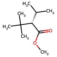 COC(=O)[C@@H](C(C)C)C(C)(C)C